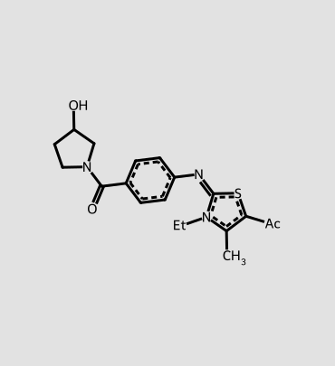 CCn1c(C)c(C(C)=O)sc1=Nc1ccc(C(=O)N2CCC(O)C2)cc1